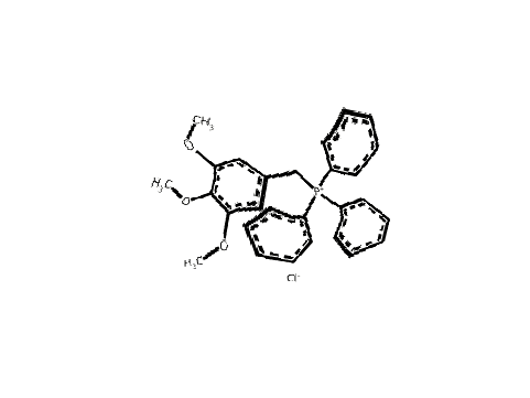 COc1cc(C[P+](c2ccccc2)(c2ccccc2)c2ccccc2)cc(OC)c1OC.[Cl-]